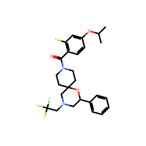 CC(C)Oc1ccc(C(=O)N2CCC3(CC2)CN(CC(F)(F)F)CC(c2ccccc2)O3)c(F)c1